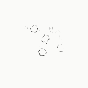 COc1ccc(Oc2ncc(NC3CCN(CC4C=CC=CC4)C3)c(Oc3ccc(OC)cc3)n2)cc1